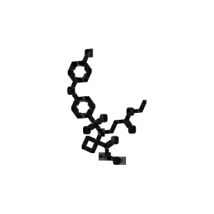 CCOC(=O)CCN(C1(C(=O)NO)CCC1)S(=O)(=O)c1ccc(Oc2ccc(Cl)cc2)cc1